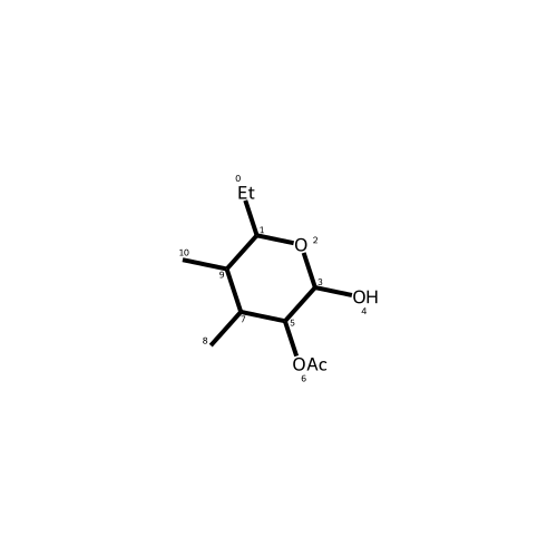 CCC1OC(O)C(OC(C)=O)C(C)C1C